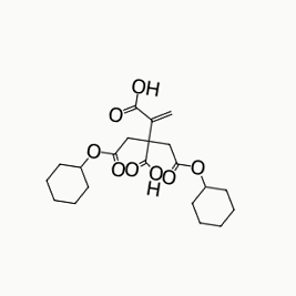 C=C(C(=O)O)C(CC(=O)OC1CCCCC1)(CC(=O)OC1CCCCC1)C(=O)O